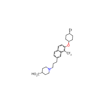 CC[C@H]1CC[C@@H](Oc2ccc3ccc(CCCN4CCC(C(=O)O)CC4)cc3c2C(F)(F)F)CC1